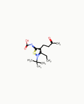 CCc1c(CCC(C)=O)c(=NC(=O)O)sn1C(C)(C)C